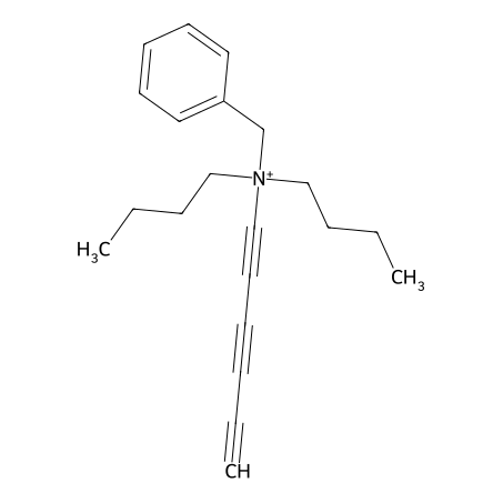 C#CC#CC#C[N+](CCCC)(CCCC)Cc1ccccc1